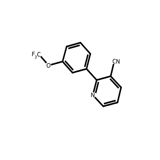 N#Cc1cccnc1-c1cccc(OC(F)(F)F)c1